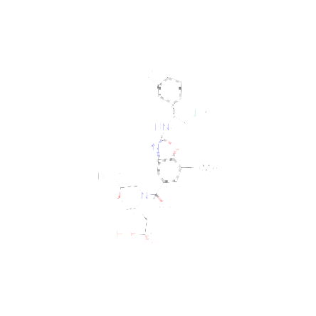 COc1cc(C(=O)N2CC(C)OC[C@@H]2CC(O)O)cc2nc(NC(CF)c3cccc(Cl)c3)oc12